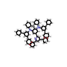 c1ccc(-c2cc(-c3ccccc3)cc(N3c4ccccc4B4c5ccccc5N(c5cc(-c6ccccc6)cc(-c6ccccc6)c5)c5cc(-c6cc(-c7ccccc7)cc(-c7ccccc7)n6)cc3c54)c2)cc1